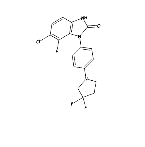 O=c1[nH]c2ccc(Cl)c(F)c2n1-c1ccc(N2CCC(F)(F)C2)cc1